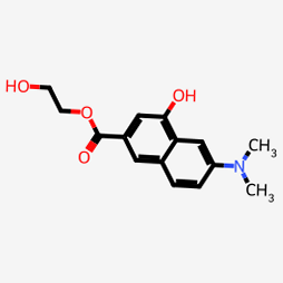 CN(C)c1ccc2cc(C(=O)OCCO)cc(O)c2c1